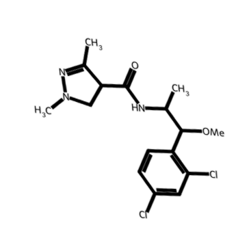 COC(c1ccc(Cl)cc1Cl)C(C)NC(=O)C1CN(C)N=C1C